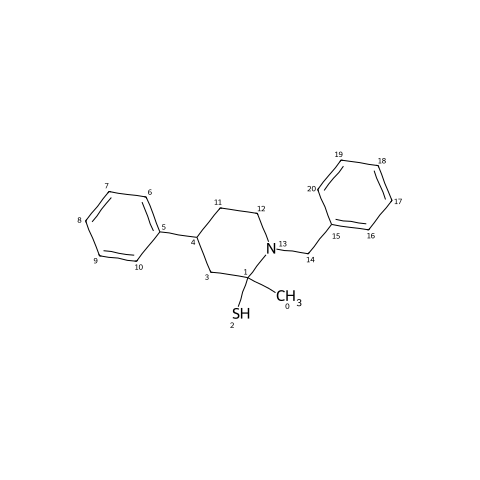 CC1(S)CC(c2ccccc2)CCN1Cc1ccccc1